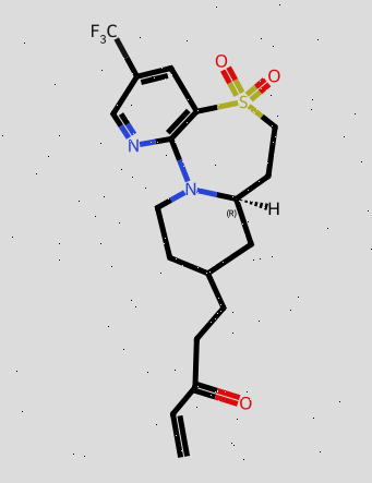 C=CC(=O)CCC1CCN2c3ncc(C(F)(F)F)cc3S(=O)(=O)CC[C@H]2C1